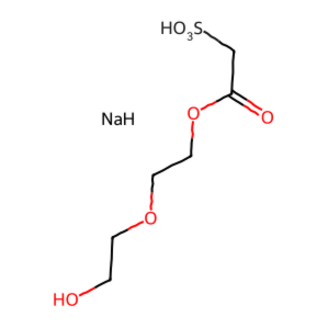 O=C(CS(=O)(=O)O)OCCOCCO.[NaH]